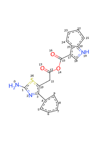 Nc1nc(-c2ccccc2)c(CC(=O)OC(=O)c2c[nH]c3ccccc23)s1